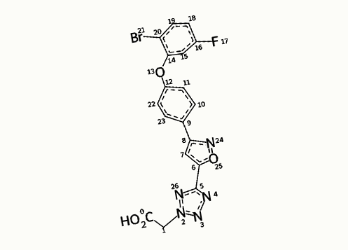 O=C(O)Cn1nnc(-c2cc(-c3ccc(Oc4cc(F)ccc4Br)cc3)no2)n1